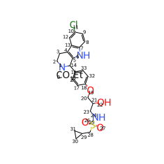 CCOC(=O)N1CCc2c([nH]c3ccc(Cl)cc23)C1c1ccc(OCC(O)CNS(=O)(=O)CC2CC2)cc1